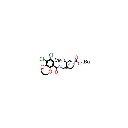 CO[C@@H]1CN(C(=O)OC(C)(C)C)CC[C@H]1CNC(=O)c1cc(Cl)c(Cl)c2c1OCCCO2